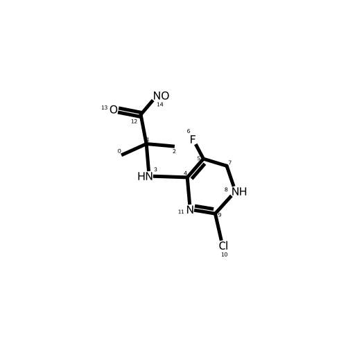 CC(C)(NC1=C(F)CNC(Cl)=N1)C(=O)N=O